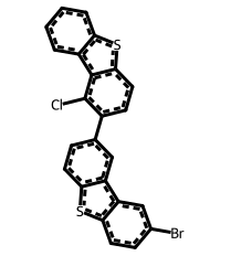 Clc1c(-c2ccc3sc4ccc(Br)cc4c3c2)ccc2sc3ccccc3c12